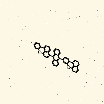 c1ccc2c(c1)Oc1ccc(-c3c4ccccc4c(-c4ccc5c(c4)Oc4cccc6cccc-5c46)c4ccccc34)c3cccc-2c13